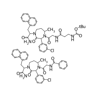 CC1CCN(C(Cc2cccc3ccccc23)C(N)=O)C(=O)C(c2cccc(Cl)c2)N1C(=O)CNC(=O)CCNC(=O)OC(C)(C)C.CC1CCN(C(Cc2cccc3ccccc23)C(N)=O)C(=O)C(c2cccc(Cl)c2)N1C(=O)CNC(=O)c1ccccc1